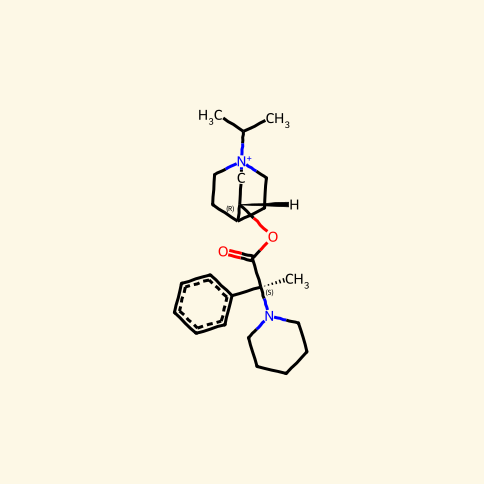 CC(C)[N+]12CCC(CC1)[C@@H](OC(=O)[C@](C)(c1ccccc1)N1CCCCC1)C2